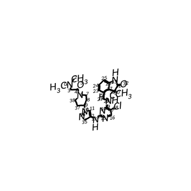 CN(C)CC(=O)N1CCC(n2cc(Nc3ncc(Cl)c(NCc4cccc5c4C(C)(C)C(=O)N5)n3)cn2)CC1